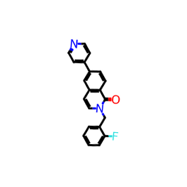 O=c1c2ccc(-c3ccncc3)cc2ccn1Cc1ccccc1F